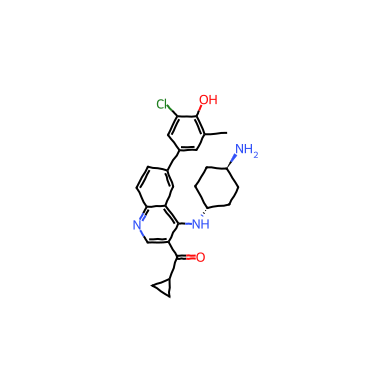 Cc1cc(-c2ccc3ncc(C(=O)C4CC4)c(N[C@H]4CC[C@H](N)CC4)c3c2)cc(Cl)c1O